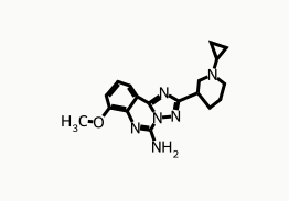 COc1cccc2c1nc(N)n1nc(C3CCCN(C4CC4)C3)nc21